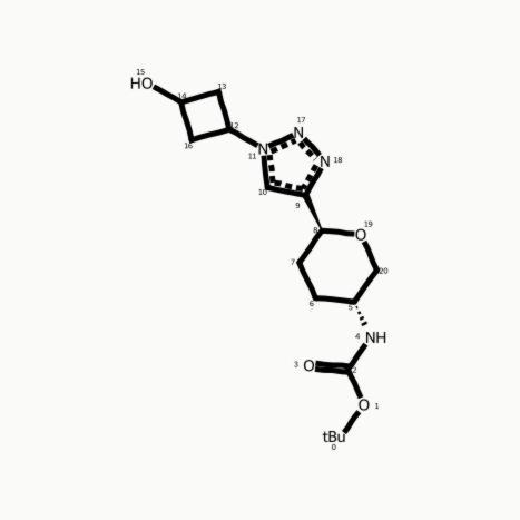 CC(C)(C)OC(=O)N[C@@H]1CC[C@@H](c2cn(C3CC(O)C3)nn2)OC1